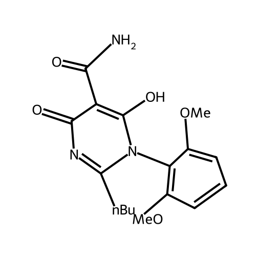 CCCCc1nc(=O)c(C(N)=O)c(O)n1-c1c(OC)cccc1OC